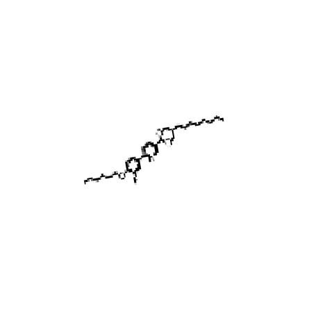 CCCCCCCCC1COC(c2ccc(-c3ccc(OCCCCCC)c(F)c3)nc2)OC1